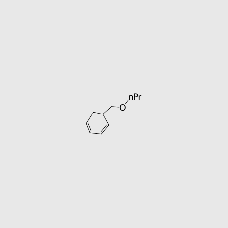 CCCOCC1C=CC=CC1